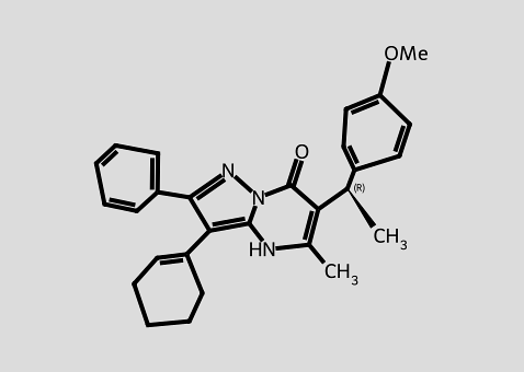 COc1ccc([C@@H](C)c2c(C)[nH]c3c(C4=CCCCC4)c(-c4ccccc4)nn3c2=O)cc1